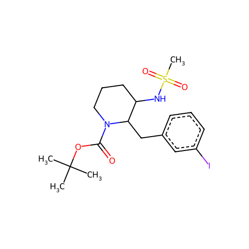 CC(C)(C)OC(=O)N1CCCC(NS(C)(=O)=O)C1Cc1cccc(I)c1